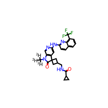 [2H]C([2H])([2H])N1C(=O)C2(CC(CNC(=O)C3CC3)C2)c2cc(Nc3ccc4cccc(C(F)(F)F)c4n3)ncc21